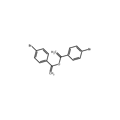 C=C(OC(=C)c1ccc(Br)cc1)c1ccc(Br)cc1